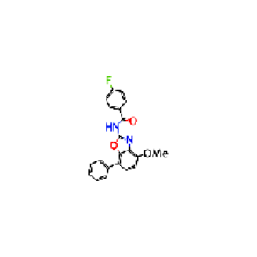 COc1ccc(-c2ccccc2)c2oc(NC(=O)c3ccc(F)cc3)nc12